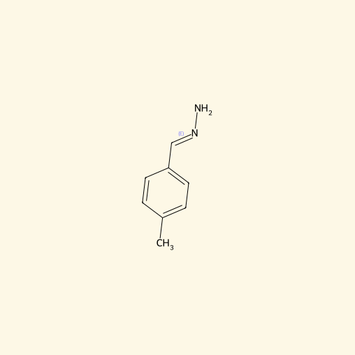 Cc1ccc(/C=N/N)cc1